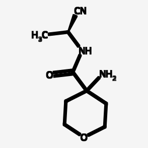 C[C@@H](C#N)NC(=O)C1(N)CCOCC1